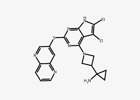 CCc1[nH]c2nc(Sc3cnc4cccnc4c3)nc(N3CC(C4(N)CC4)C3)c2c1Cl